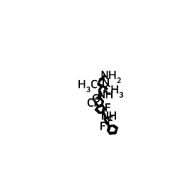 Cc1cc(N)nc(C)c1CNC(=O)Cc1c(Cl)ccc(NCC(F)(F)c2ccccc2)c1F